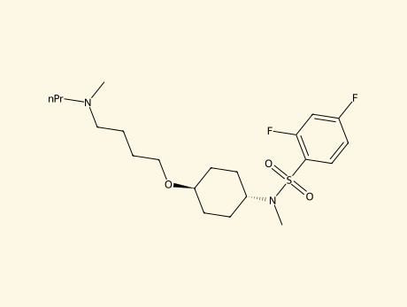 CCCN(C)CCCCO[C@H]1CC[C@H](N(C)S(=O)(=O)c2ccc(F)cc2F)CC1